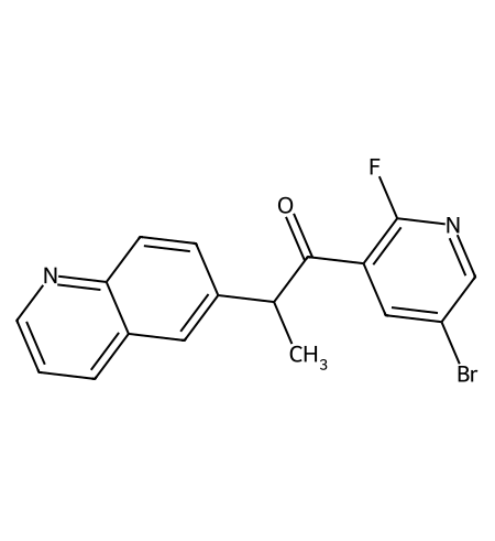 CC(C(=O)c1cc(Br)cnc1F)c1ccc2ncccc2c1